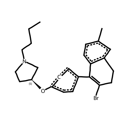 CCCCN1CC[C@H](Oc2ccc(C3=C(Br)CCc4cc(C)ccc43)cc2)C1